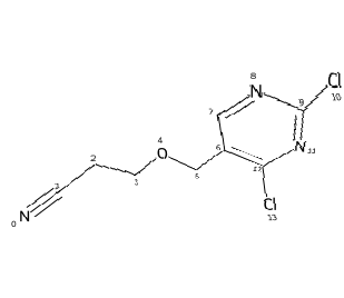 N#CCCOCc1cnc(Cl)nc1Cl